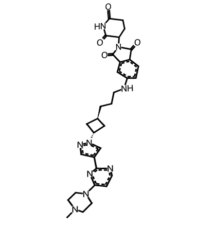 CN1CCN(c2ccnc(-c3cnn([C@H]4C[C@H](CCCNc5ccc6c(c5)C(=O)N(C5CCC(=O)NC5=O)C6=O)C4)c3)n2)CC1